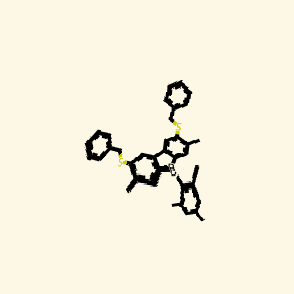 Cc1cc(C)c(B2c3cc(C)c(SCc4ccccc4)cc3-c3cc(SCc4ccccc4)c(C)cc32)c(C)c1